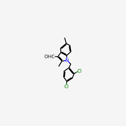 Cc1ccc2c(c1)c(C=O)c(C)n2Cc1ccc(Cl)cc1Cl